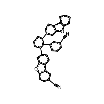 N#Cc1cccc(-c2c(-c3ccc4c(c3)oc3ccccc34)cccc2-c2ccc3c(c2)oc2ccc(C#N)cc23)c1